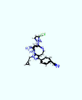 N#Cc1ccc(-c2nn(CC3CC3)c3[nH]c(N)cc(-n4ccc(Cl)n4)nccc23)cc1